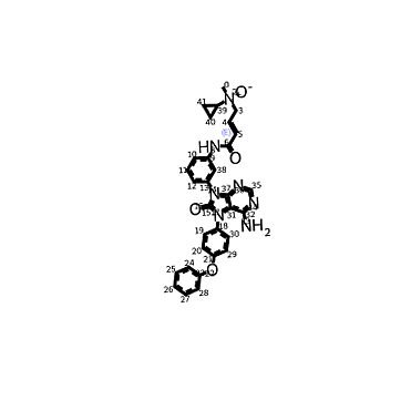 C[N+]([O-])(C/C=C/C(=O)Nc1cccc(-n2c(=O)n(-c3ccc(Oc4ccccc4)cc3)c3c(N)ncnc32)c1)C1CC1